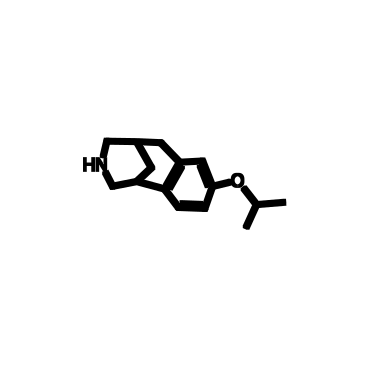 CC(C)Oc1ccc2c(c1)CC1CNCC2C1